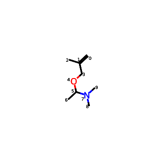 C=C(C)COC(C)N(C)C